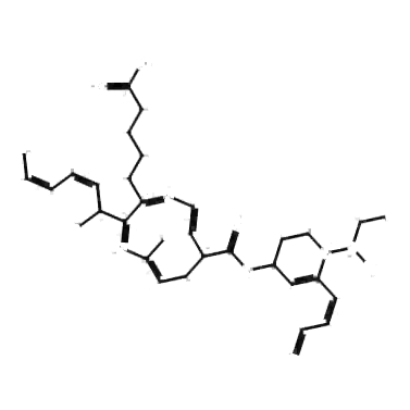 C=C/C=C\C1=CC(NC(=O)C2/C=C/N=C(CCCCC(=O)O)\C(C(C)/C=C\C=C/C)=N/C(C)=C/C2)CCN1[S+]([O-])CC